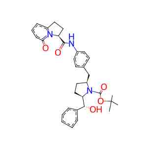 CC(C)(C)OC(=O)N1[C@H](Cc2ccc(NC(=O)[C@@H]3CCc4cccc(=O)n43)cc2)CC[C@@H]1[C@H](O)c1ccccc1